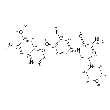 COc1cc2nccc(Oc3ccc(N(CCN4CCOCC4)C(=O)C(N)=O)cc3F)c2cc1OC